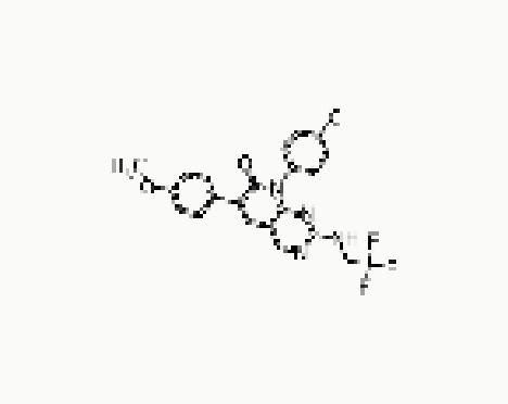 COc1ccc(-c2cc3cnc(NCC(F)(F)F)nc3n(-c3ccc(Cl)cc3)c2=O)cc1